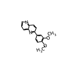 COc1ccc(-c2ccc3ncccc3n2)cc1OC